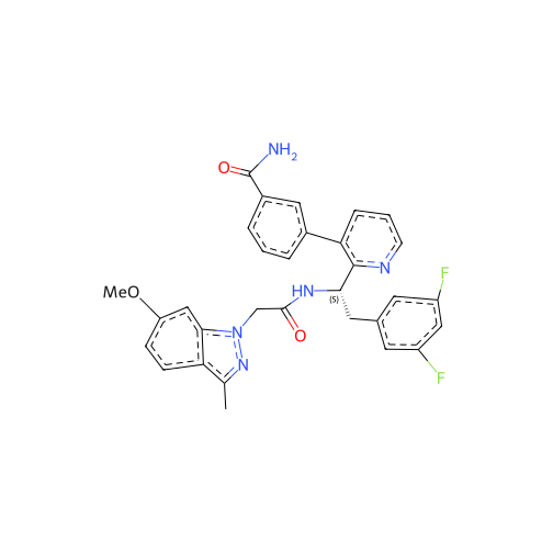 COc1ccc2c(C)nn(CC(=O)N[C@@H](Cc3cc(F)cc(F)c3)c3ncccc3-c3cccc(C(N)=O)c3)c2c1